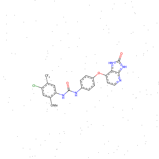 COc1cc(Cl)c(C(F)(F)F)cc1NC(=O)Nc1ccc(Oc2ccnc3[nH]c(=O)[nH]c23)cc1